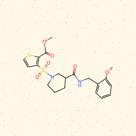 COC(=O)c1sccc1S(=O)(=O)N1CCCC(C(=O)NCc2ccccc2OC)C1